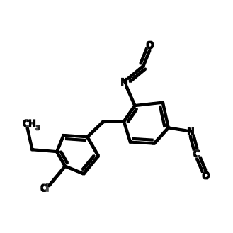 CCc1cc(Cc2ccc(N=C=O)cc2N=C=O)ccc1Cl